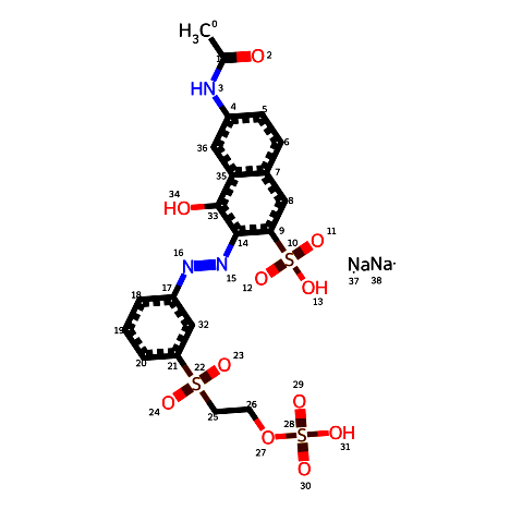 CC(=O)Nc1ccc2cc(S(=O)(=O)O)c(N=Nc3cccc(S(=O)(=O)CCOS(=O)(=O)O)c3)c(O)c2c1.[Na].[Na]